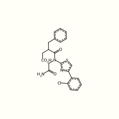 NC(=O)CN(C(=O)C(CC(=O)O)Cc1ccccc1)c1nc(-c2ccccc2Cl)cs1